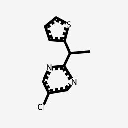 CC(c1ncc(Cl)cn1)c1cccs1